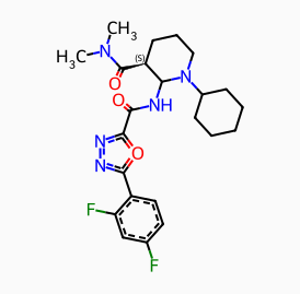 CN(C)C(=O)[C@H]1CCCN(C2CCCCC2)C1NC(=O)c1nnc(-c2ccc(F)cc2F)o1